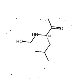 CC(=O)[C@H](CC(C)C)NCO